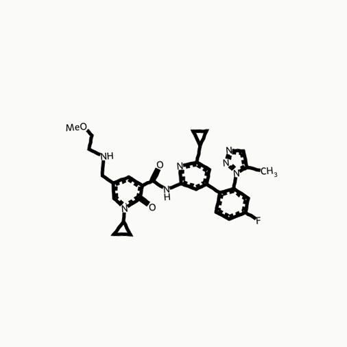 COCCNCc1cc(C(=O)Nc2cc(-c3ccc(F)cc3-n3nncc3C)cc(C3CC3)n2)c(=O)n(C2CC2)c1